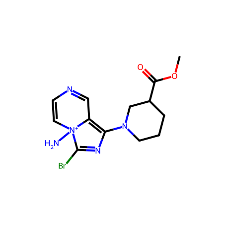 COC(=O)C1CCCN(C2=C3C=NC=C[N+]3(N)C(Br)=N2)C1